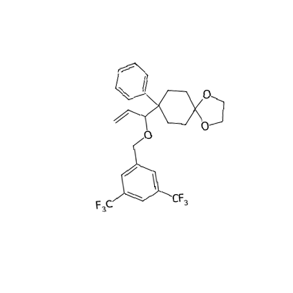 C=CC(OCc1cc(C(F)(F)F)cc(C(F)(F)F)c1)C1(c2ccccc2)CCC2(CC1)OCCO2